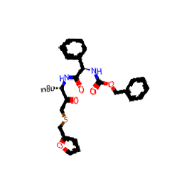 CCCC[C@H](NC(=O)[C@@H](NC(=O)OCc1ccccc1)c1ccccc1)C(=O)CSCc1ccco1